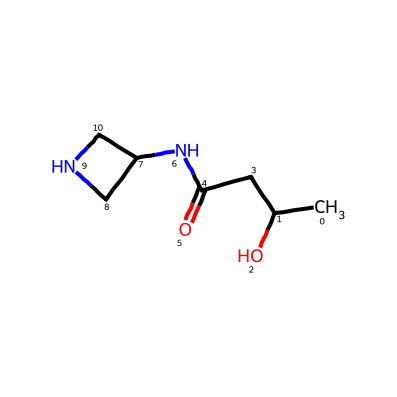 CC(O)CC(=O)NC1CNC1